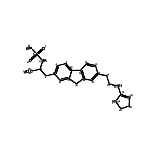 CCCCS(=O)(=O)NC(Cc1ccc2c(c1)Cc1cc(CCNC3=NCCN3)ccc1-2)C(=O)O